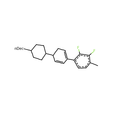 CCCCCCCCCCC1CCC(C2C=CC(c3ccc(C)c(F)c3F)=CC2)CC1